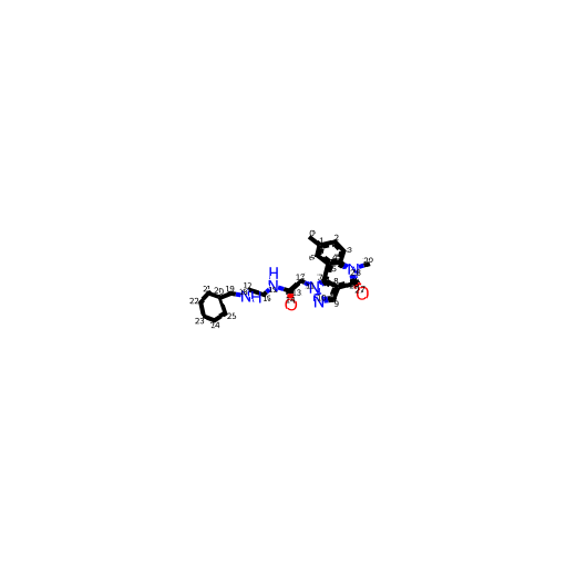 Cc1ccc2c(c1)c1c(cnn1CC(=O)NCCNCC1CCCCC1)c(=O)n2C